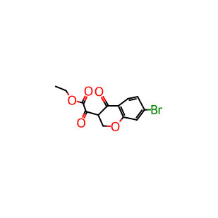 CCOC(=O)C(=O)C1COc2cc(Br)ccc2C1=O